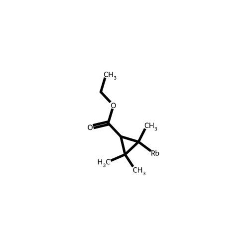 CCOC(=O)C1C(C)(C)[C]1(C)[Rb]